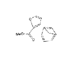 COC(=O)c1ccco1.c1cc2cc(c1)C2